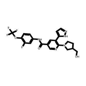 O=C(Nc1ccc(OC(F)(F)F)c(F)c1)c1cnc(N2CCC(CO)C2)c(-c2ccn[nH]2)c1